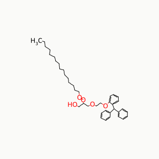 CCCCCCCCCCCCCCCCOOC(CO)COCCOc1ccccc1C(c1ccccc1)c1ccccc1